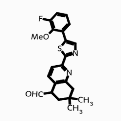 COc1c(F)cccc1-c1cnc(-c2ccc3c(n2)CC(C)(C)CC3C=O)s1